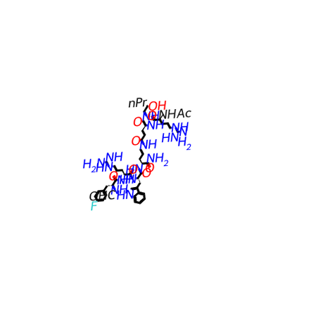 CCC[C@@H](O)CNC(=O)[C@H](CCC(=O)NCCC[C@H](NC(=O)[C@H](Cc1c[nH]c2ccccc12)NC(=O)[C@H](CCCNC(=N)N)NC(=O)[C@@H](Cc1ccc(F)cc1)NC=O)C(N)=O)NC(=O)[C@H](CCCNC(=N)N)NC(C)=O